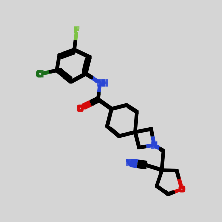 N#CC1(CN2CC3(CCC(C(=O)Nc4cc(F)cc(Cl)c4)CC3)C2)CCOC1